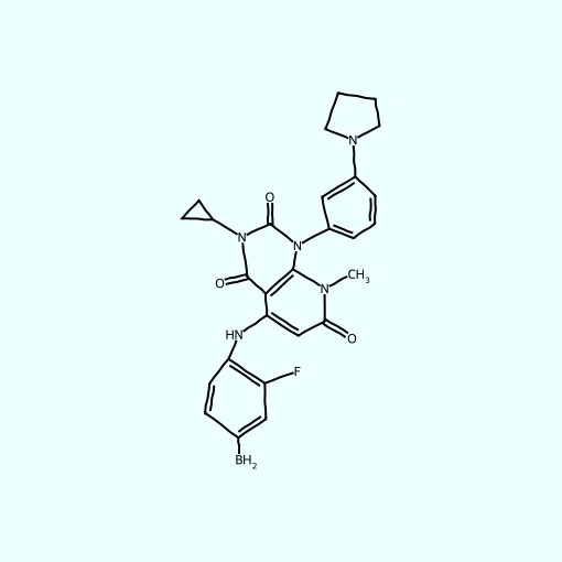 Bc1ccc(Nc2cc(=O)n(C)c3c2c(=O)n(C2CC2)c(=O)n3-c2cccc(N3CCCC3)c2)c(F)c1